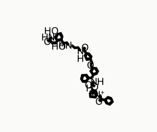 O=C(NC(c1ccccc1)c1cccc(OCc2ccc(C(=O)NCCCNC[C@H](O)c3ccc(O)c4[nH]c(=O)ccc34)cc2)c1)O[C@H]1C[N+]2(CC(=O)c3ccccc3)CCC1CC2